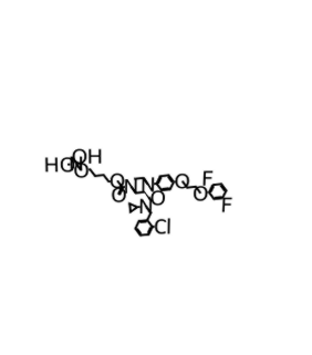 O=C(OCCCCON(O)O)N1CCN(c2ccc(OCCOc3cc(F)ccc3F)cc2)[C@@H](C(=O)N(Cc2ccccc2Cl)C2CC2)C1